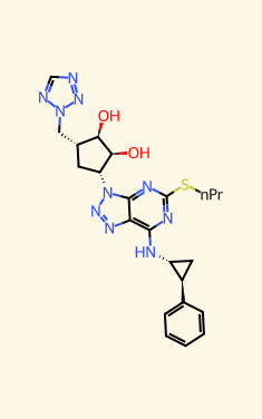 CCCSc1nc(N[C@@H]2C[C@H]2c2ccccc2)c2nnn([C@@H]3C[C@H](Cn4ncnn4)[C@@H](O)[C@H]3O)c2n1